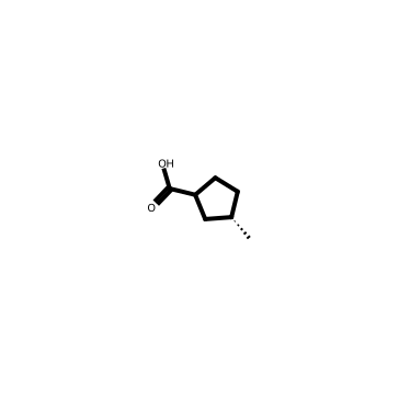 C[C@H]1CCC(C(=O)O)C1